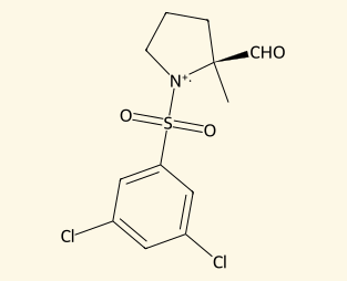 C[C@@]1(C=O)CCC[N+]1S(=O)(=O)c1cc(Cl)cc(Cl)c1